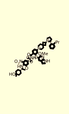 COc1nc2[nH]ccc2cc1Oc1cc(N2CCC3(CC2)CC(N2CCC[C@@H]2c2ccccc2C(C)C)C3)ccc1C(=O)NS(=O)(=O)c1cc2c(c([N+](=O)[O-])c1)N[C@@H](C1CCC(C)(O)CC1)CO2